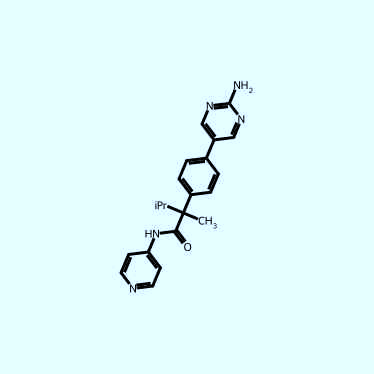 CC(C)C(C)(C(=O)Nc1ccncc1)c1ccc(-c2cnc(N)nc2)cc1